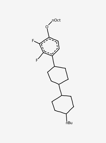 CCCCCCCCOc1ccc(C2CCC(C3CCC(CCCC)CC3)CC2)c(F)c1F